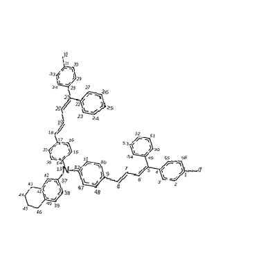 Cc1ccc(/C(=C/C=C/c2ccc(N(c3ccc(/C=C/C=C(\c4ccccc4)c4ccc(C)cc4)cc3)c3ccc4c(c3)CCCC4)cc2)c2ccccc2)cc1